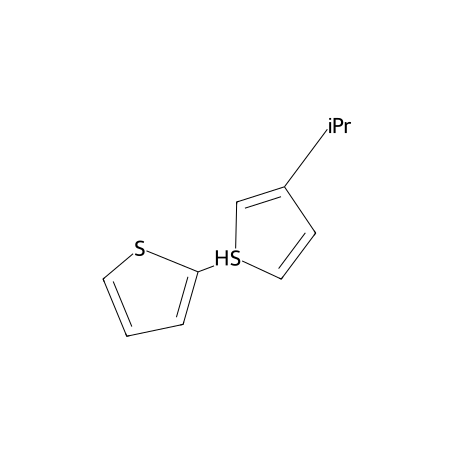 CC(C)C1=C[SH](c2cccs2)C=C1